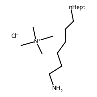 CCCCCCCCCCCCCN.C[N+](C)(C)C.[Cl-]